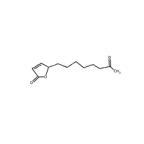 CC(=O)CCCCCCC1C=CC(=O)O1